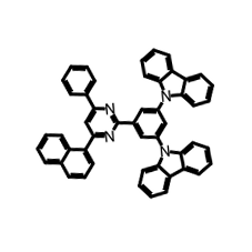 c1ccc(-c2cc(-c3cccc4ccccc34)nc(-c3cc(-n4c5ccccc5c5ccccc54)cc(-n4c5ccccc5c5ccccc54)c3)n2)cc1